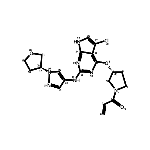 C=CC(=O)N1CC[C@@H](Oc2nc(Nc3cnn([C@H]4CCOC4)c3)nc3[nH]cc(Cl)c23)C1